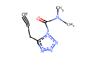 C#CCc1nnnn1C(=O)N(C)C